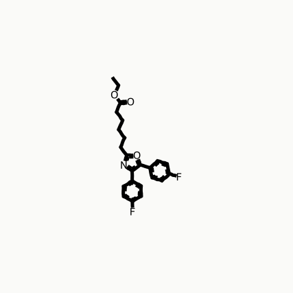 CCOC(=O)CCCCCc1nc(-c2ccc(F)cc2)c(-c2ccc(F)cc2)o1